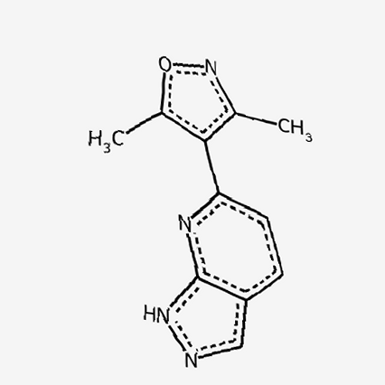 Cc1noc(C)c1-c1ccc2cn[nH]c2n1